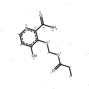 CCC(=O)OCOc1c(O)ccnc1C(N)=O